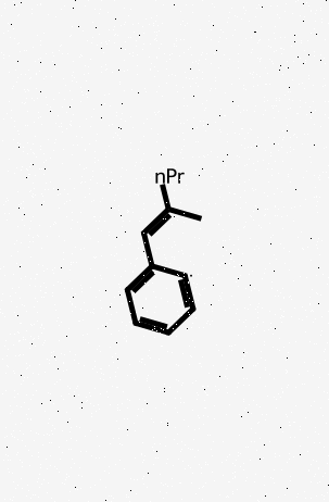 CCCC(C)=Cc1[c]cccc1